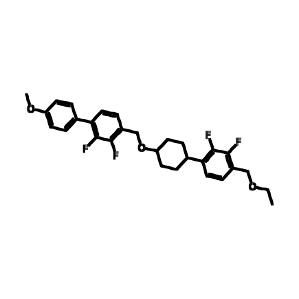 CCOCc1ccc(C2CCC(OCc3ccc(-c4ccc(OC)cc4)c(F)c3F)CC2)c(F)c1F